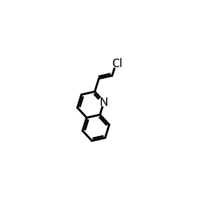 ClC=Cc1ccc2ccccc2n1